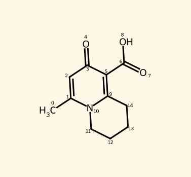 Cc1cc(=O)c(C(=O)O)c2n1CCCC2